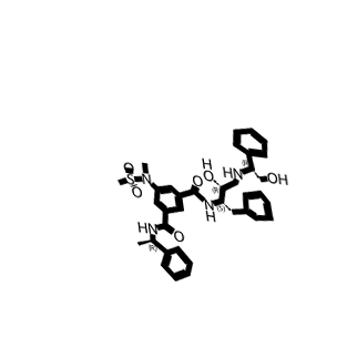 C[C@@H](NC(=O)c1cc(C(=O)N[C@@H](Cc2ccccc2)[C@H](O)CN[C@@H](CO)c2ccccc2)cc(N(C)S(C)(=O)=O)c1)c1ccccc1